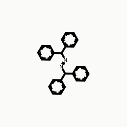 c1ccc(C(N=NC(c2ccccc2)c2ccccc2)c2ccccc2)cc1